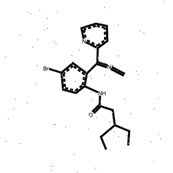 C=[N+]=C(c1ccccn1)c1cc(Br)ccc1NC(=O)CC(CC)CC